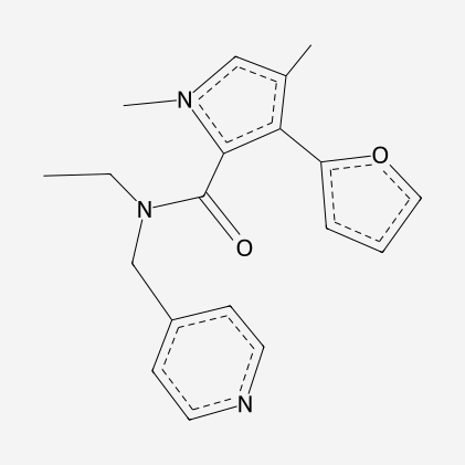 CCN(Cc1ccncc1)C(=O)c1c(-c2ccco2)c(C)cn1C